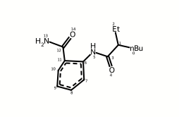 CCCCC(CC)C(=O)Nc1ccccc1C(N)=O